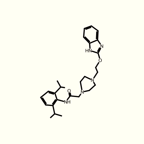 CC(C)c1cccc(C(C)C)c1NC(=O)CN1CCN(CCOc2nc3ccccc3[nH]2)CC1